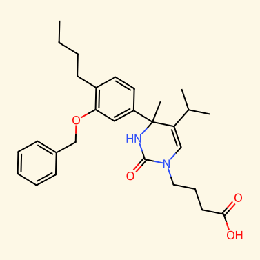 CCCCc1ccc(C2(C)NC(=O)N(CCCC(=O)O)C=C2C(C)C)cc1OCc1ccccc1